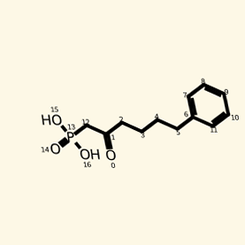 O=C(CCCCc1ccccc1)CP(=O)(O)O